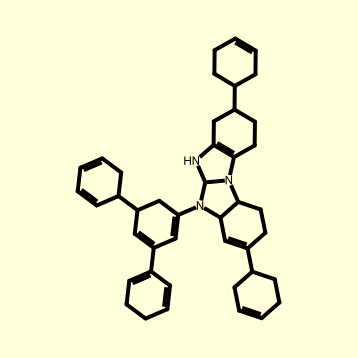 C1=CCC(C2C=C(C3=CCCC=C3)C=C(N3C4C=C(C5CC=CCC5)CCC4N4C5=C(CC(C6CC=CCC6)CC5)NC34)C2)C=C1